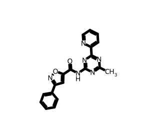 Cc1nc(NC(=O)c2cc(-c3ccccc3)no2)nc(-c2ccccn2)n1